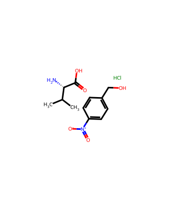 CC(C)[C@H](N)C(=O)O.Cl.O=[N+]([O-])c1ccc(CO)cc1